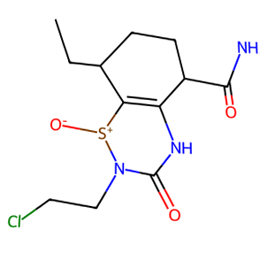 CCC1CCC(C(N)=O)C2=C1[S+]([O-])N(CCCl)C(=O)N2